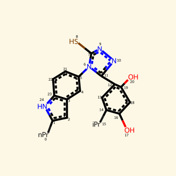 CCCc1cc2cc(-n3c(S)nnc3-c3cc(C(C)C)c(O)cc3O)ccc2[nH]1